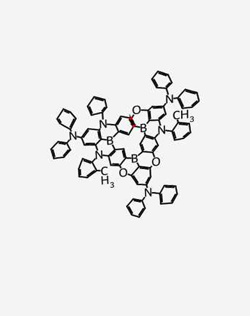 Cc1ccccc1N1c2cc3c(cc2B2c4ccccc4Oc4cc(N(c5ccccc5)c5ccccc5)cc1c42)B1c2cc4c(cc2Oc2cc(N(c5ccccc5)c5ccccc5)cc(c21)O3)N(c1ccccc1C)c1cc(N(c2ccccc2)c2ccccc2)cc2c1B4c1ccccc1N2c1ccccc1